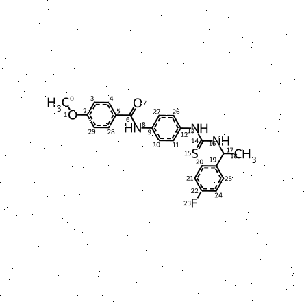 COc1ccc(C(=O)Nc2ccc(NC(=S)NC(C)c3ccc(F)cc3)cc2)cc1